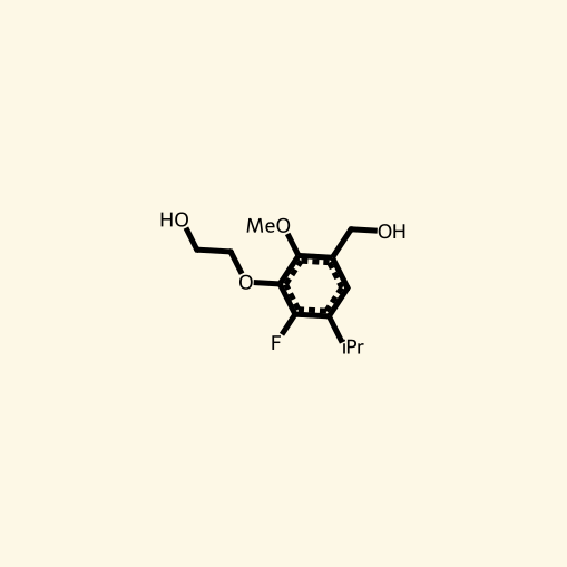 COc1c(CO)cc(C(C)C)c(F)c1OCCO